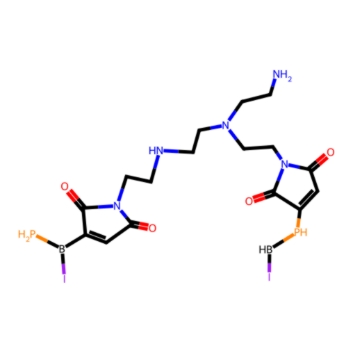 NCCN(CCNCCN1C(=O)C=C(B(P)I)C1=O)CCN1C(=O)C=C(PBI)C1=O